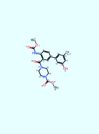 CC(C)(C)OC(=O)Nc1ccc(-c2cc(O)cc(C(F)(F)F)c2)cc1C(=O)N1CCN(C(=O)OC(C)(C)C)CC1